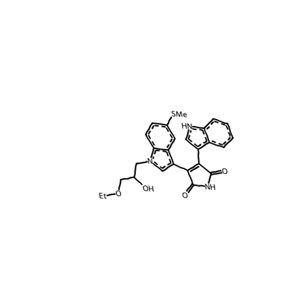 CCOCC(O)Cn1cc(C2=C(c3c[nH]c4ccccc34)C(=O)NC2=O)c2cc(SC)ccc21